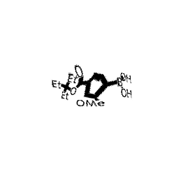 CCC(CC)(CC)OC(=O)c1ccc(B(O)O)c(OC)c1